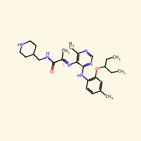 CCC(CC)Oc1cc(C)ccc1Nc1ncnc(C)c1/N=C(\C)C(=O)NCC1CCNCC1